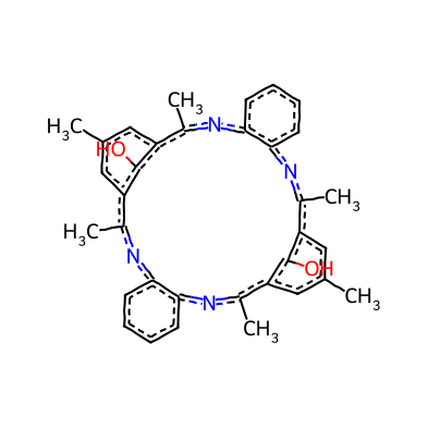 Cc1cc2c(C)nc3ccccc3nc(C)c3cc(C)cc(c(C)nc4ccccc4nc(C)c(c1)c2O)c3O